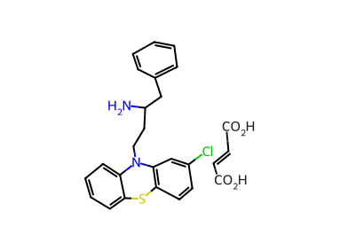 NC(CCN1c2ccccc2Sc2ccc(Cl)cc21)Cc1ccccc1.O=C(O)C=CC(=O)O